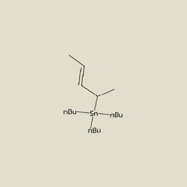 CC=C[CH](C)[Sn]([CH2]CCC)([CH2]CCC)[CH2]CCC